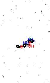 CC1(COc2ccc([C@@H](NC(=O)[C@@](C)(N)c3ccccc3F)C(C)(C)O)cc2)CCCC1